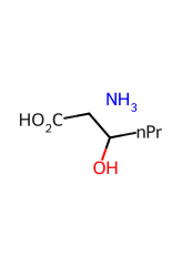 CCCC(O)CC(=O)O.N